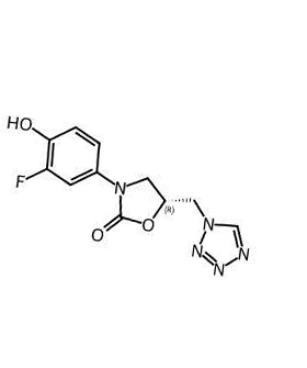 O=C1O[C@@H](Cn2cnnn2)CN1c1ccc(O)c(F)c1